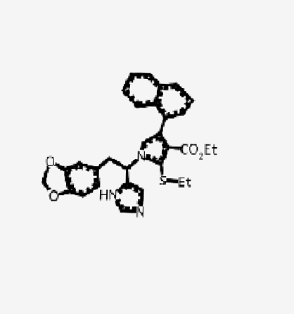 CCOC(=O)c1c(-c2cccc3ccccc23)cn(C(Cc2ccc3c(c2)OCO3)c2cnc[nH]2)c1SCC